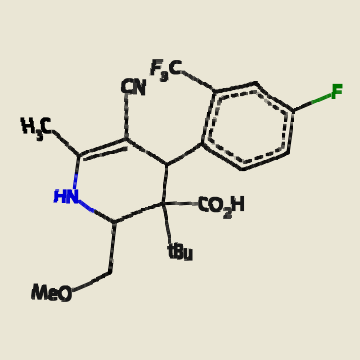 COCC1NC(C)=C(C#N)C(c2ccc(F)cc2C(F)(F)F)C1(C(=O)O)C(C)(C)C